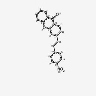 O=c1c2ccccc2oc2cc(C=Cc3ccc([N+](=O)[O-])cc3)ccc12